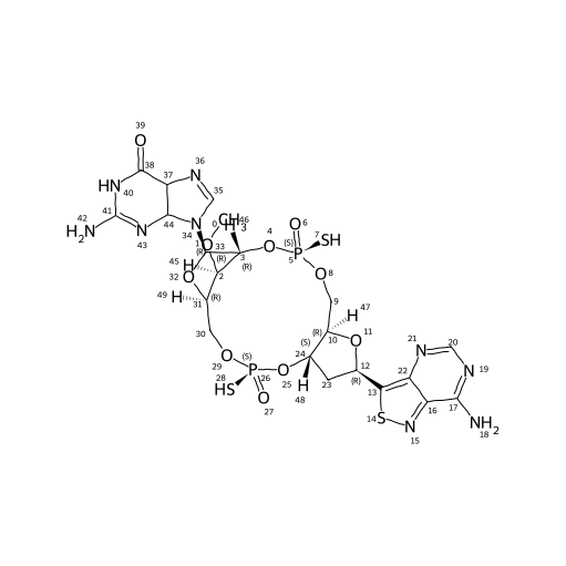 CO[C@H]1[C@H]2O[P@@](=O)(S)OC[C@H]3O[C@@H](c4snc5c(N)ncnc45)C[C@@H]3O[P@@](=O)(S)OC[C@H]1O[C@H]2N1C=NC2C(=O)NC(N)=NC21